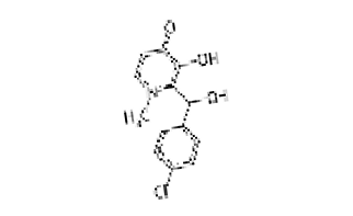 Cn1ccc(=O)c(O)c1C(O)c1ccc(Cl)cc1